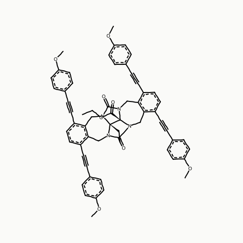 CCOC(=O)[C@]12N3Cc4c(C#Cc5ccc(OC)cc5)ccc(C#Cc5ccc(OC)cc5)c4CN1C(=O)N1Cc4c(C#Cc5ccc(OC)cc5)ccc(C#Cc5ccc(OC)cc5)c4CN(C3=O)[C@]12CC